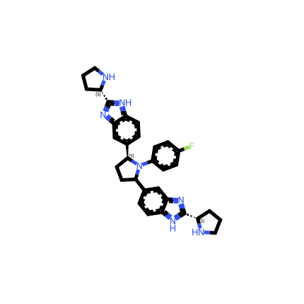 Fc1ccc(N2C(c3ccc4[nH]c([C@@H]5CCCN5)nc4c3)CC[C@H]2c2ccc3[nH]c([C@@H]4CCCN4)nc3c2)cc1